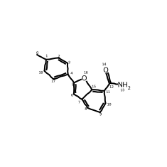 Cc1ccc(-c2cc3cccc(C(N)=O)c3o2)cc1